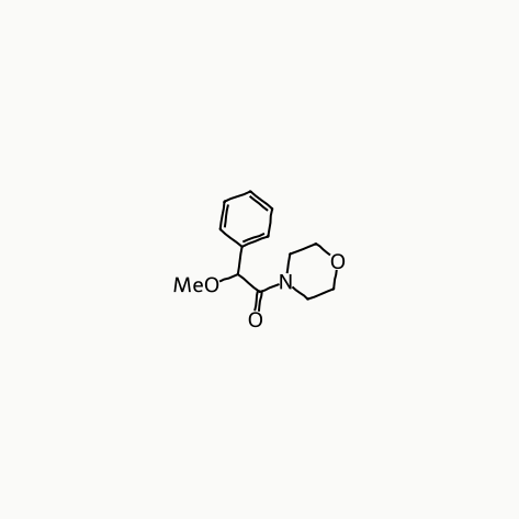 COC(C(=O)N1CCOCC1)c1ccccc1